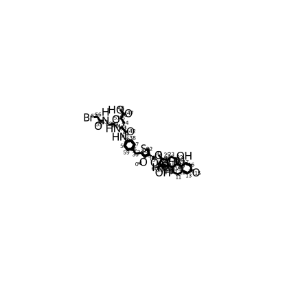 COc1c([C@@H]2O[C@@H]3C[C@H]4[C@@H]5CCC6=CC(=O)C=C[C@]6(C)[C@H]5[C@@H](O)C[C@]4(C)[C@]3(C(=O)CO)O2)csc1Cc1ccc(NC(=O)[C@H](CCC(=O)O)NC(=O)CNC(=O)CBr)cc1